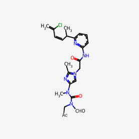 C=C(Cl)/C=C\C(C)c1cccc(NC(=O)Cn2cc(N(C)C(=O)N(C=O)CC(C)=O)nc2C)n1